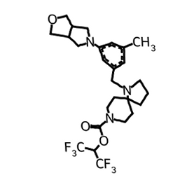 Cc1cc(CN2CCCC23CCN(C(=O)OC(C(F)(F)F)C(F)(F)F)CC3)cc(N2CC3COCC3C2)c1